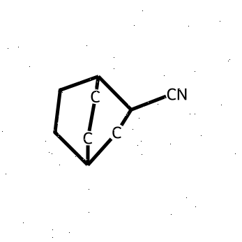 N#CC1CC2CCC1CC2